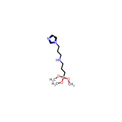 CO[Si](CCCNCCCn1ccnc1)(OC)OC